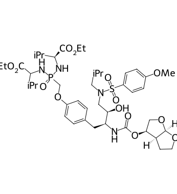 CCOC(=O)C(NP(=O)(COc1ccc(C[C@H](NC(=O)O[C@H]2CO[C@H]3OCC[C@H]32)[C@H](O)CN(CC(C)C)S(=O)(=O)c2ccc(OC)cc2)cc1)N[C@H](C(=O)OCC)C(C)C)C(C)C